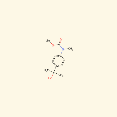 CN(C(=O)OC(C)(C)C)c1ccc(C(C)(C)O)cc1